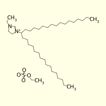 CCCCCCCCCCCCCCCCC(CCCCCCCCCCCCCCCC)[N+]1=CN(CC)CC1.CCOS(=O)(=O)[O-]